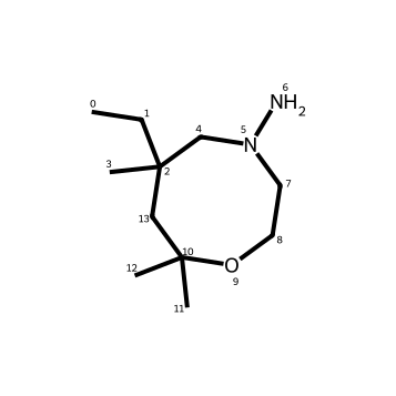 CCC1(C)CN(N)CCOC(C)(C)C1